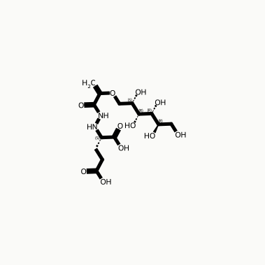 C=C(OC[C@H](O)[C@@H](O)[C@H](O)[C@H](O)CO)C(=O)NN[C@@H](CCC(=O)O)C(=O)O